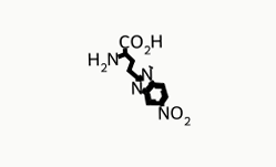 Cn1c(CCC(N)C(=O)O)nc2cc([N+](=O)[O-])ccc21